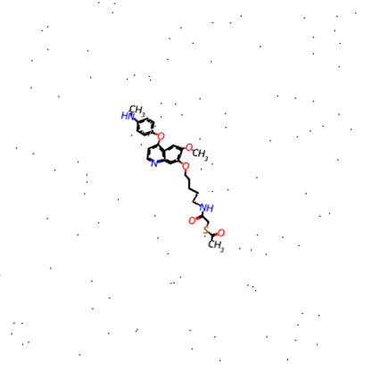 CNc1ccc(Oc2ccnc3cc(OCCCCCNC(=O)CSC(C)=O)c(OC)cc23)cc1